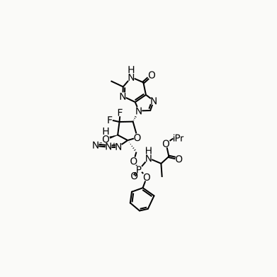 Cc1nc2c(ncn2[C@@H]2O[C@@](COP(=O)(NC(C)C(=O)OC(C)C)Oc3ccccc3)(N=[N+]=[N-])[C@@H](O)C2(F)F)c(=O)[nH]1